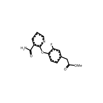 COC(=O)Cc1ccc(Oc2ncccc2C(N)=O)c(F)c1